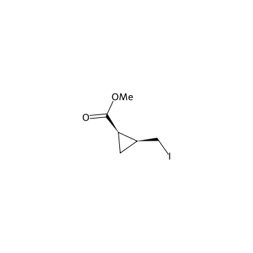 COC(=O)[C@@H]1C[C@@H]1CI